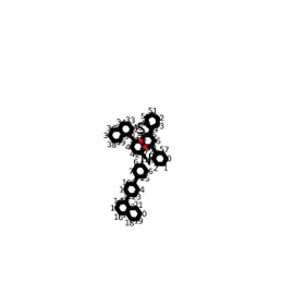 c1ccc(N(c2ccc(-c3ccc(-c4cccc5ccccc45)cc3)cc2)c2ccc(-c3cccc4ccccc34)cc2)c(-c2ccc3sc4ccccc4c3c2)c1